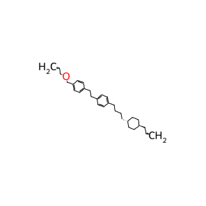 C=CCOCc1ccc(CCc2ccc(CCCC[C@H]3CC[C@H](CC=C)CC3)cc2)cc1